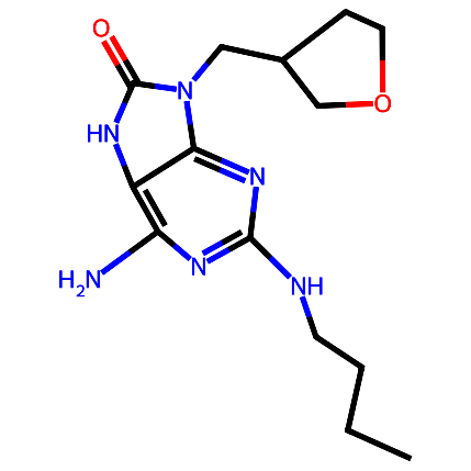 CCCCNc1nc(N)c2[nH]c(=O)n(CC3CCOC3)c2n1